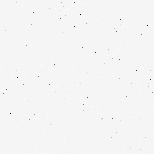 COc1ccc(C2(C)CSc3cc(OC)ccc3C2CCCCCCC(=O)O)cc1